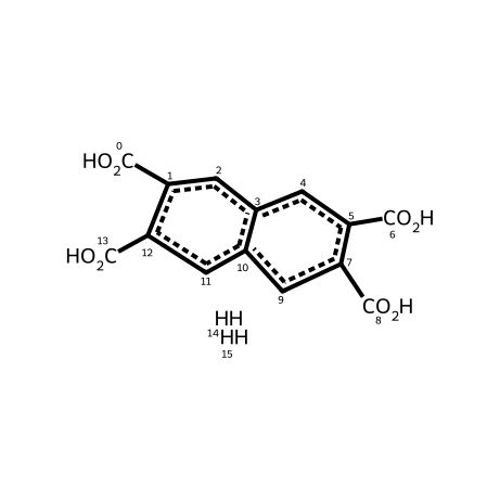 O=C(O)c1cc2cc(C(=O)O)c(C(=O)O)cc2cc1C(=O)O.[HH].[HH]